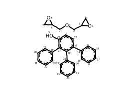 C(OCC1CO1)C1CO1.Oc1ccc(-c2ccccc2)c(-c2ccccc2)c1-c1ccccc1